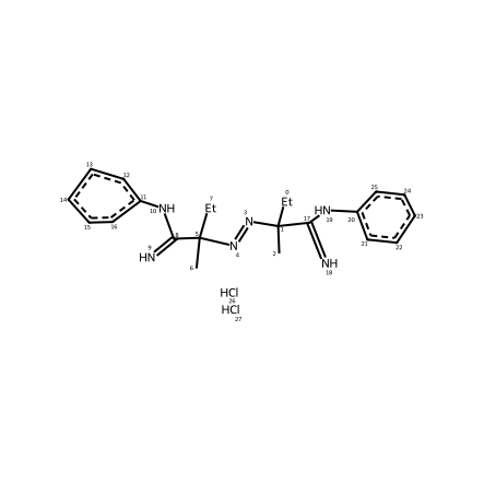 CCC(C)(N=NC(C)(CC)C(=N)Nc1ccccc1)C(=N)Nc1ccccc1.Cl.Cl